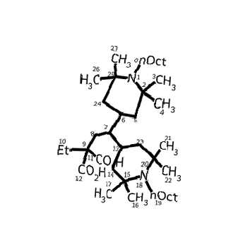 CCCCCCCCN1C(C)(C)CC(C(CC(CC)(C(=O)O)C(=O)O)C2CC(C)(C)N(CCCCCCCC)C(C)(C)C2)CC1(C)C